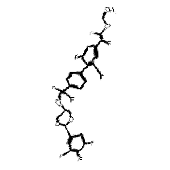 CCO/C(F)=C(\F)c1cc(F)c(-c2ccc(C(F)(F)OC3COC(c4cc(F)c(F)c(F)c4)OC3)cc2)c(F)c1